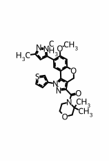 COc1cc2c(cc1-c1cc(C)nn1C)-c1c(c(C(=O)N3CCOCC3(C)C)nn1-c1ccsc1)CO2